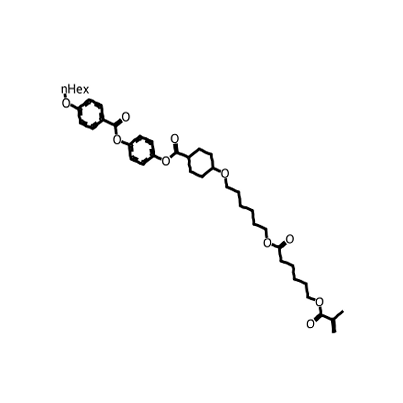 C=C(C)C(=O)OCCCCCC(=O)OCCCCCCOC1CCC(C(=O)Oc2ccc(OC(=O)c3ccc(OCCCCCC)cc3)cc2)CC1